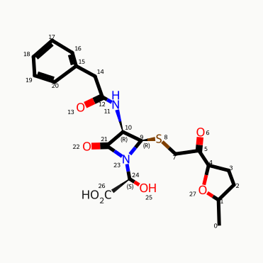 CC1CCC(C(=O)CS[C@@H]2[C@H](NC(=O)Cc3ccccc3)C(=O)N2[C@@H](O)C(=O)O)O1